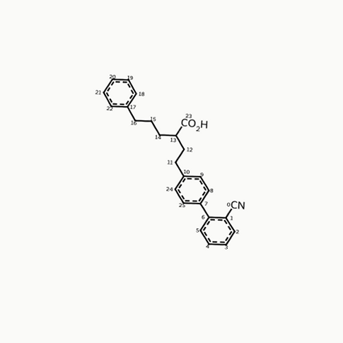 N#Cc1ccccc1-c1ccc(CCC(CCCc2ccccc2)C(=O)O)cc1